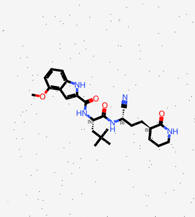 COc1cccc2[nH]c(C(=O)N[C@@H](CC(C)(C)C)C(=O)N[C@H](C#N)CC[C@@H]3CCCNC3=O)cc12